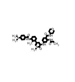 C=CC(=O)Nc1cc(Nc2cc(-c3cccc(NC(=O)c4ccc(N(C)C)cc4)c3C)cn(C)c2=O)ccc1C(=O)NC1CCOCC1